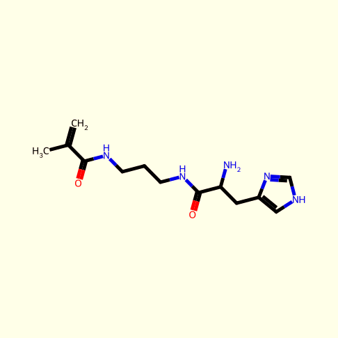 C=C(C)C(=O)NCCCNC(=O)C(N)Cc1c[nH]cn1